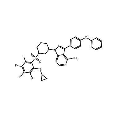 Nc1ncnc2c1c(-c1ccc(Oc3ccccc3)cc1)nn2C1CCCN(S(=O)(=O)c2c(F)c(F)c(F)c(F)c2OC2CC2)C1